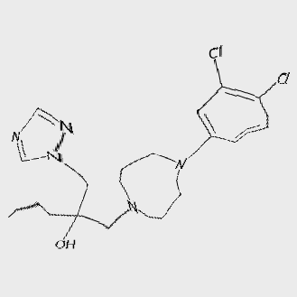 CCC(O)(CN1CCN(c2ccc(Cl)c(Cl)c2)CC1)Cn1cncn1